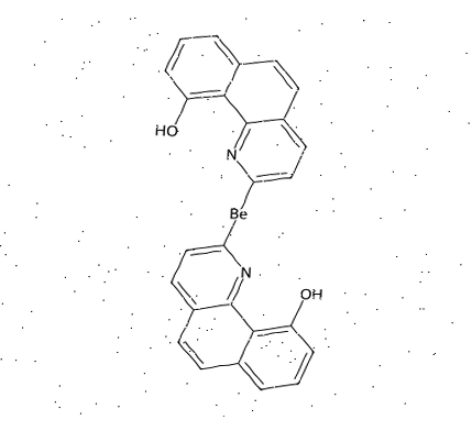 Oc1cccc2ccc3cc[c]([Be][c]4ccc5ccc6cccc(O)c6c5n4)nc3c12